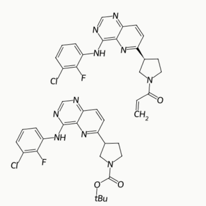 C=CC(=O)N1CC[C@H](c2ccc3ncnc(Nc4cccc(Cl)c4F)c3n2)C1.CC(C)(C)OC(=O)N1CCC(c2ccc3ncnc(Nc4cccc(Cl)c4F)c3n2)C1